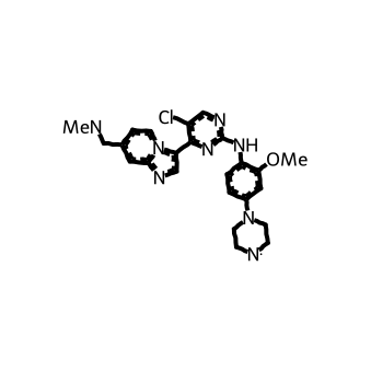 CNCc1ccn2c(-c3nc(Nc4ccc(N5CC[N]CC5)cc4OC)ncc3Cl)cnc2c1